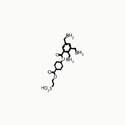 BCc1cc(CB)c(CB)c(C(=O)OC2CCC(C(=O)OCCS(=O)(=O)O)CC2)c1